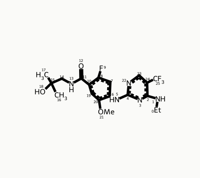 CCNc1nc(Nc2cc(F)c(C(=O)NCC(C)(C)O)cc2OC)ncc1C(F)(F)F